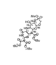 COP1(=O)CO[C@H]2O[C@@H]3[C@@H](Nc4c(nc(N(C(=O)OC(C)(C)C)C(=O)OC(C)(C)C)[nH]c4=O)N3C(=O)OC(C)(C)C)[C@@H](O)[C@H]2O1